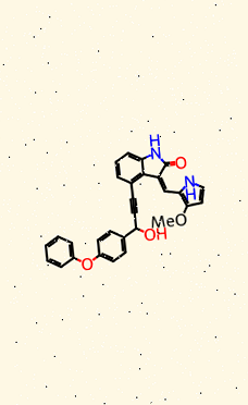 COc1cc[nH]c1C=C1C(=O)Nc2cccc(C#CC(O)c3ccc(Oc4ccccc4)cc3)c21